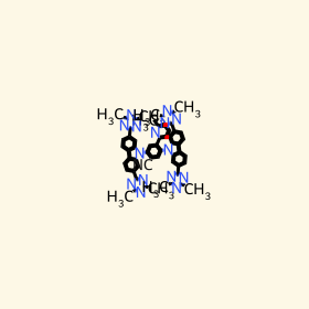 Cc1cccc(-c2cc(-n3c4cc(-c5nc(C)nc(C)n5)ccc4c4ccc(-c5nc(C)nc(C)n5)cc43)c(C#N)cc2-n2c3cc(-c4nc(C)nc(C)n4)ccc3c3ccc(-c4nc(C)nc(C)n4)cc32)n1